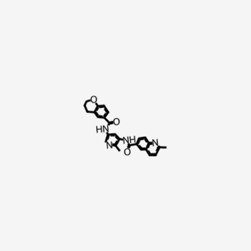 Cc1ccc2cc(C(=O)Nc3cc(NC(=O)c4ccc5c(c4)CCCO5)cnc3C)ccc2n1